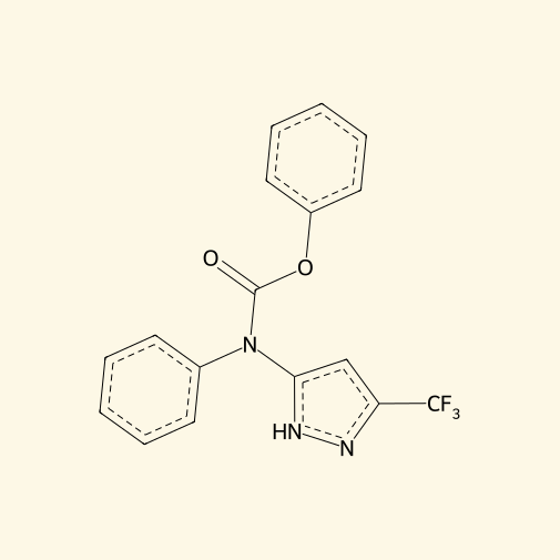 O=C(Oc1ccccc1)N(c1ccccc1)c1cc(C(F)(F)F)n[nH]1